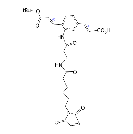 CC(C)(C)OC(=O)/C=C/c1ccc(/C=C/C(=O)O)cc1NC(=O)CCNC(=O)CCCCCN1C(=O)C=CC1=O